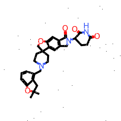 CC1(C)Cc2c(CN3CCC4(CC3)COc3cc5c(cc34)CN(C3CCC(=O)NC3=O)C5=O)cccc2O1